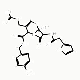 CCC(=O)OCC1=CS[C@H]2C(NC(=O)Cc3cccs3)C(=O)N2C1C(=O)OCc1ccc([N+](=O)[O-])cc1